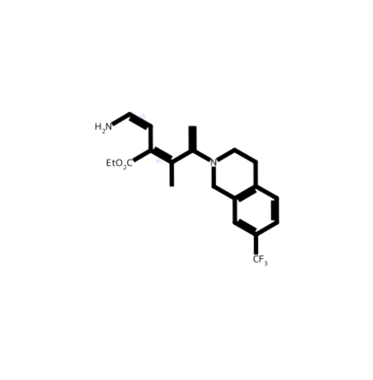 C=C(/C(C)=C(\C=C/N)C(=O)OCC)N1CCc2ccc(C(F)(F)F)cc2C1